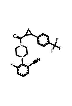 N#Cc1cccc(F)c1N1CCN(C(=O)C2CC2c2ccc(C(F)(F)F)cc2)CC1